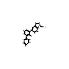 CC(C)(C)N1CCc2cc(-c3cccc(-c4ccccc4)c3F)cnc21